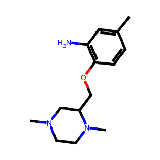 Cc1ccc(OCC2CN(C)CCN2C)c(N)c1